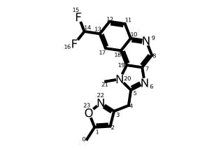 Cc1cc(Cc2nc3cnc4ccc(C(F)F)cc4c3n2C)no1